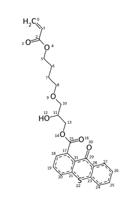 C=CC(=O)OCCCCOCC(O)COC(=O)c1cccc2sc3ccccc3c(=O)c12